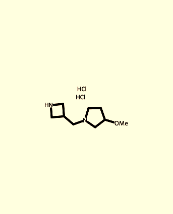 COC1CCN(CC2CNC2)C1.Cl.Cl